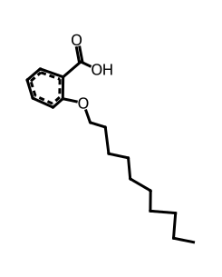 CCCCCCCCCCOc1ccccc1C(=O)O